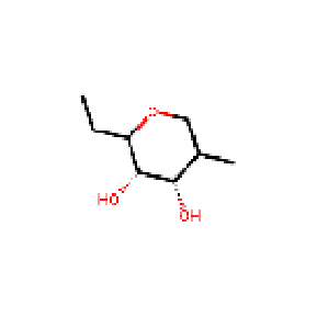 CCC1OCC(C)[C@H](O)[C@@H]1O